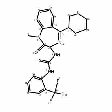 CN1C(=O)C(NC(=S)Nc2ccccc2C(F)(F)F)N=C(C2CCCCC2)c2ccccc21